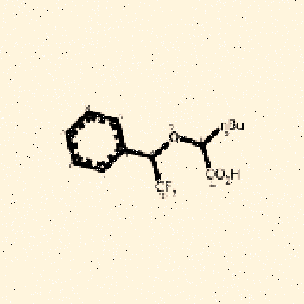 CCCCC(OC(c1ccccc1)C(F)(F)F)C(=O)O